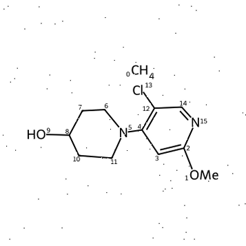 C.COc1cc(N2CCC(O)CC2)c(Cl)cn1